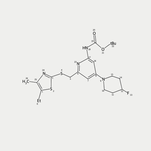 CCc1sc(SCc2cc(N3CCC(F)CC3)cc(NC(=O)OC(C)(C)C)n2)nc1C